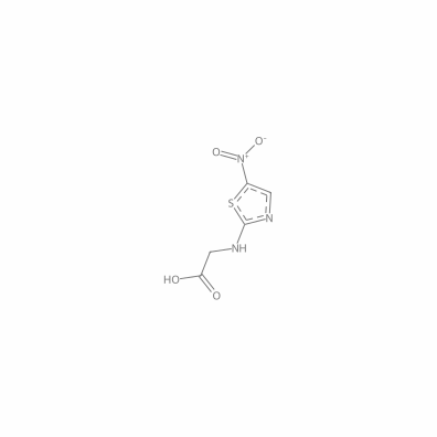 O=C(O)CNc1ncc([N+](=O)[O-])s1